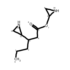 CCCC(CC(=O)OC1CN1)C1CN1